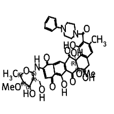 CO[C@@H]1[C@@H](O)[C@@H](CO)[C@@H](NC2=CC(=O)c3c(cc4c(c3O)C(=O)[C@]3(OC)[C@H](O)Cc5cc(C)c(C(=O)N6CCN(c7ccccc7)CC6)c(O)c5[C@]3(O)C4=O)C2=O)O[C@H]1C